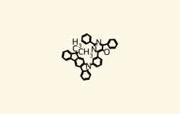 CC1(C)c2ccccc2-c2cc3c4ccccc4n(-c4cccc(-c5nc(-c6ccccc6)nc6c5oc5ccccc56)c4)c3cc21